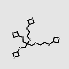 C(CSC1CSC1)SCC(CSC1CSC1)(CSC1CSC1)SCCSC1CSC1